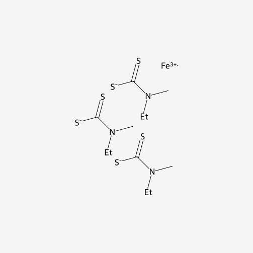 CCN(C)C(=S)[S-].CCN(C)C(=S)[S-].CCN(C)C(=S)[S-].[Fe+3]